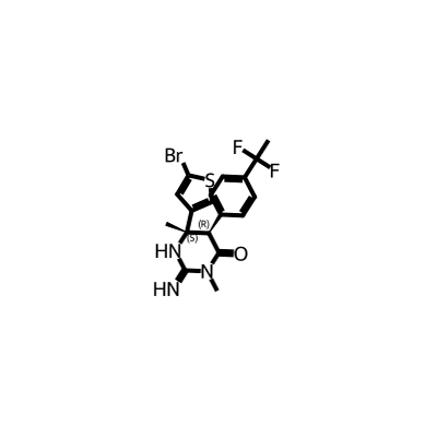 CN1C(=N)N[C@](C)(c2csc(Br)c2)[C@@H](c2ccc(C(C)(F)F)cc2)C1=O